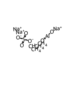 C.C.C.C.O=S(=O)([O-])[O-].[Na+].[Na+].[Na+].[O]=[Al][O-]